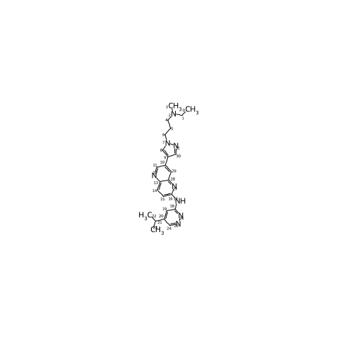 CCN(C)CCCn1cc(-c2cnc3ccc(Nc4cc(C(C)C)cnn4)nc3c2)cn1